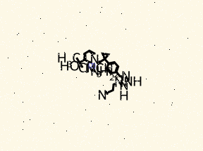 C=C(n1cccc(C(C)(C)O)/c1=N/N)C1(c2ccc(C3=NNNN3CCC#N)cc2)CC1